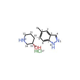 Cc1cc2cn[nH]c2cc1[C@H]1CCNC[C@@H]1O.Cl